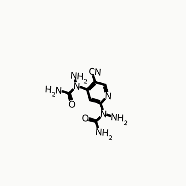 N#Cc1cnc(N(N)C(N)=O)cc1N(N)C(N)=O